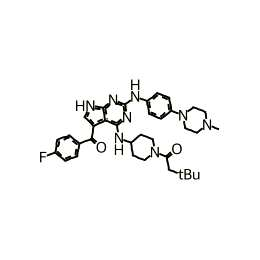 CN1CCN(c2ccc(Nc3nc(NC4CCN(C(=O)CC(C)(C)C)CC4)c4c(C(=O)c5ccc(F)cc5)c[nH]c4n3)cc2)CC1